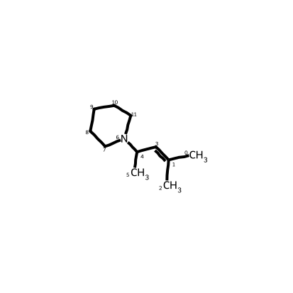 CC(C)=CC(C)N1CCCCC1